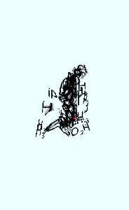 CC(C)C1=C2[C@H]3CCC4[C@@]5(C)CC[C@H](OC(=O)CC(C)(C)C(=O)O)C(C)(C)[C@@H]5CC[C@@]4(C)[C@]3(C)CCC2(Nc2nnc(C3C=CC(Cl)=CC3)o2)CC1=O